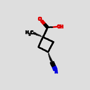 C[C@]1(C(=O)O)C[C@H](C#N)C1